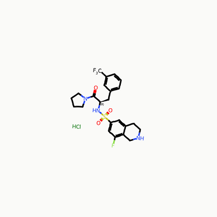 Cl.O=C([C@@H](Cc1cccc(C(F)(F)F)c1)NS(=O)(=O)c1cc(F)c2c(c1)CCNC2)N1CCCC1